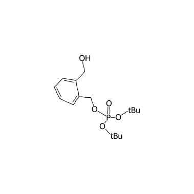 CC(C)(C)OP(=O)(OCc1ccccc1CO)OC(C)(C)C